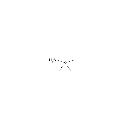 C[SH](C)(C)(C)[SiH3]